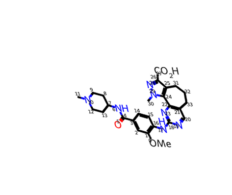 COc1cc(C(=O)NC2CCN(C)CC2)ccc1Nc1ncc2c(n1)-c1c(c(C(=O)O)nn1C)CCC2